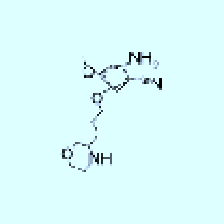 COc1cc(N)c(C#N)cc1OCCCC1COCCN1